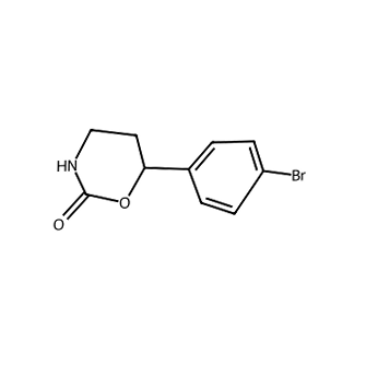 O=C1NCCC(c2ccc(Br)cc2)O1